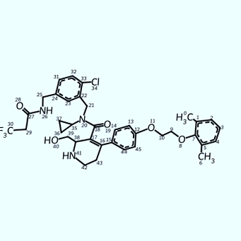 Cc1cccc(C)c1OCCOc1ccc(C2=C(C(=O)N(Cc3cc(CNC(=O)CC(F)(F)F)ccc3Cl)C3CC3)C(CO)NCC2)cc1